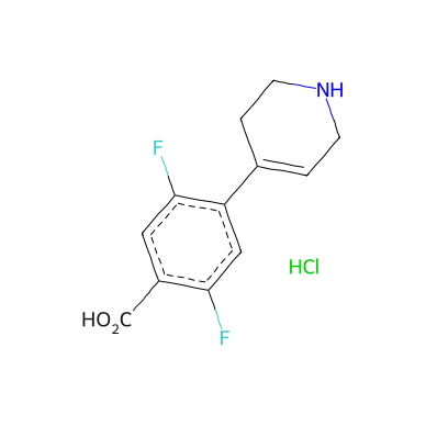 Cl.O=C(O)c1cc(F)c(C2=CCNCC2)cc1F